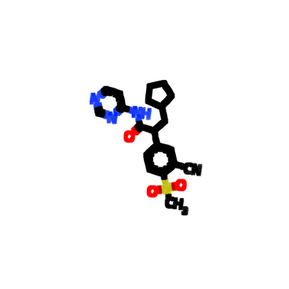 CS(=O)(=O)c1ccc(C(CC2CCCC2)C(=O)Nc2ccncn2)cc1C#N